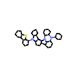 c1ccc(N2c3ccccc3-n3c4c2cccc4c2ccc4c(c5ccccc5n4-c4cccc5c4sc4ccccc45)c23)cc1